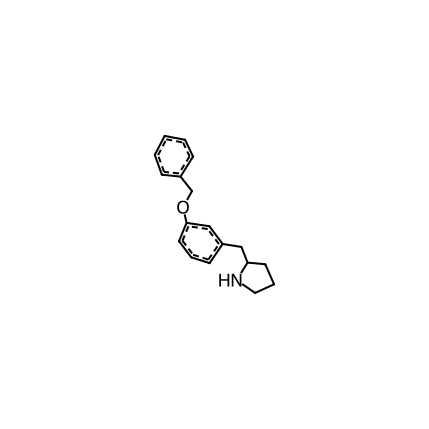 c1ccc(COc2cccc(CC3CCCN3)c2)cc1